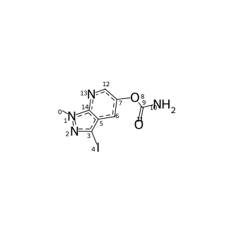 Cn1nc(I)c2cc(OC(N)=O)cnc21